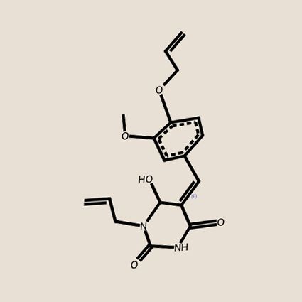 C=CCOc1ccc(/C=C2/C(=O)NC(=O)N(CC=C)C2O)cc1OC